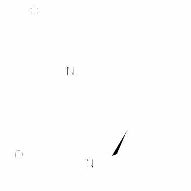 C1CC[C@@H](CN2CCOCC2)[C@H](CN2CCOCC2)C1